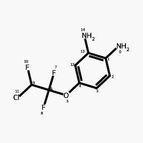 Nc1ccc(OC(F)(F)C(F)Cl)cc1N